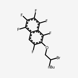 CCCCC(Br)COc1c(F)cc2c(F)c(F)c(F)c(F)c2c1F